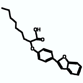 CCCCCCCC(Oc1ccc(-c2cc3ccccc3o2)cc1)C(=O)O